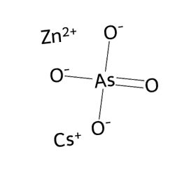 O=[As]([O-])([O-])[O-].[Cs+].[Zn+2]